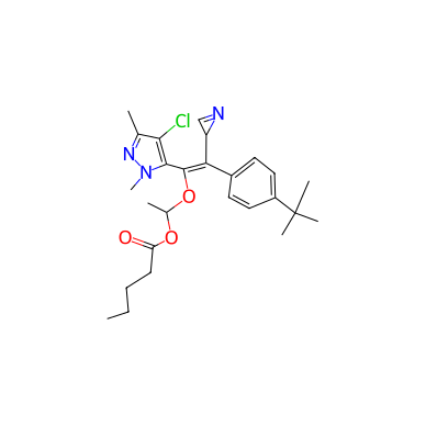 CCCCC(=O)OC(C)O/C(=C(\c1ccc(C(C)(C)C)cc1)C1C=N1)c1c(Cl)c(C)nn1C